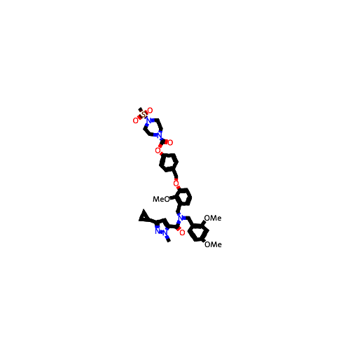 COc1ccc(CN(Cc2cccc(OCc3ccc(OC(=O)N4CCN(S(C)(=O)=O)CC4)cc3)c2OC)C(=O)c2cc(C3CC3)nn2C)c(OC)c1